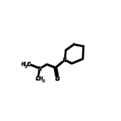 CN(C)CC(=O)N1C[CH]CCC1